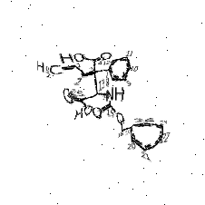 C=CCC(C(=O)O)(c1ccccc1)C(NC(=O)OCc1ccccc1)C(=O)O